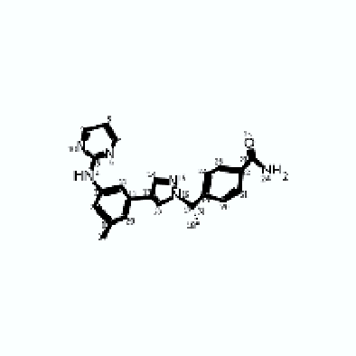 Cc1cc(Nc2ncccn2)cc(-c2cnn([C@@H](C)c3ccc(C(N)=O)cc3)c2)c1